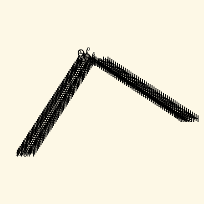 C=CC(=O)O.C=CC(=O)O.[NaH].[NaH].[NaH].[NaH].[NaH].[NaH].[NaH].[NaH].[NaH].[NaH].[NaH].[NaH].[NaH].[NaH].[NaH].[NaH].[NaH].[NaH].[NaH].[NaH].[NaH].[NaH].[NaH].[NaH].[NaH].[NaH].[NaH].[NaH].[NaH].[NaH].[NaH].[NaH].[NaH].[NaH].[NaH].[NaH].[NaH].[NaH].[NaH].[NaH].[NaH].[NaH].[NaH].[NaH].[NaH].[NaH].[NaH].[NaH].[NaH].[NaH].[NaH].[NaH].[NaH].[NaH].[NaH].[NaH].[NaH].[NaH].[NaH].[NaH].[NaH].[NaH].[NaH].[NaH].[NaH].[NaH].[NaH].[NaH].[NaH].[NaH].[NaH].[NaH].[NaH].[NaH].[NaH].[NaH].[NaH].[NaH].[NaH].[NaH].[NaH].[NaH].[NaH].[NaH].[NaH].[NaH].[NaH].[NaH].[NaH].[NaH].[NaH].[NaH].[NaH].[NaH].[NaH].[NaH].[NaH].[NaH]